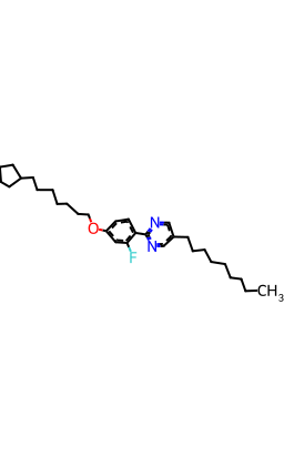 CCCCCCCCCc1cnc(-c2ccc(OCCCCCCCC3CCCC3)cc2F)nc1